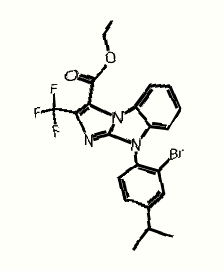 CCOC(=O)c1c(C(F)(F)F)nc2n(-c3ccc(C(C)C)cc3Br)c3ccccc3n12